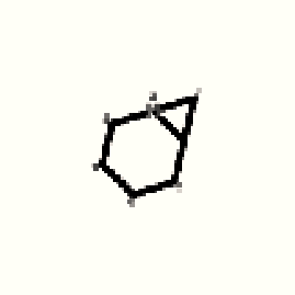 C1CCN2CC2C1